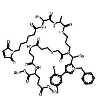 CC(NC(=O)C(NC(=O)CCCCCN1C(=O)C=CC1=O)C(C)C)C(=O)NCCCN(C(=O)CSCCC(=O)NCCC(=O)NC(CCC(=O)OC(C)(C)C)C(=O)OC(C)(C)C)C(c1cc(-c2cc(F)ccc2F)cn1Cc1ccccc1)C(C)(C)C